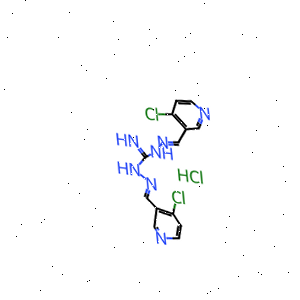 Cl.N=C(NN=Cc1cnccc1Cl)NN=Cc1cnccc1Cl